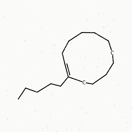 CCCCCC1=CCCCCCCCCCC1